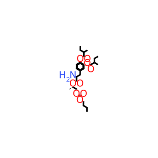 CCCCOC(=O)OC[C@H](C)OC(=O)[C@@H](N)Cc1ccc(OC(=O)C(C)CC)c(OC(=O)C(C)CC)c1